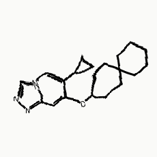 c1c(OC2CCC3(CCCCC3)CC2)c(C2CC2)cn2cnnc12